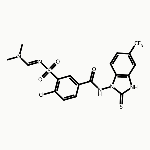 CN(C)C=NS(=O)(=O)c1cc(C(=O)Nn2c(=S)[nH]c3cc(C(F)(F)F)ccc32)ccc1Cl